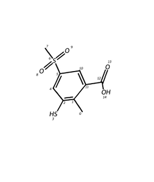 Cc1c(S)cc(S(C)(=O)=O)cc1C(=O)O